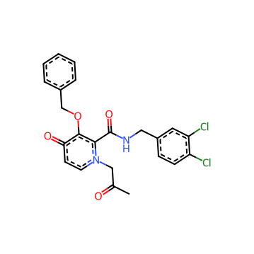 CC(=O)Cn1ccc(=O)c(OCc2ccccc2)c1C(=O)NCc1ccc(Cl)c(Cl)c1